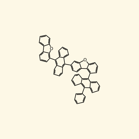 c1ccc(-c2c3ccccc3c(-c3cccc4oc5cc(-c6c7ccccc7c(-c7cccc8c7oc7ccccc78)c7ccccc67)ccc5c34)c3ccccc23)cc1